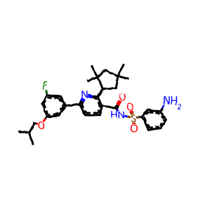 CC(C)COc1cc(F)cc(-c2ccc(C(=O)NS(=O)(=O)c3cccc(N)c3)c(C3CC(C)(C)CC3(C)C)n2)c1